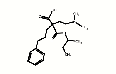 CCC(C)OC(=O)C(CCCc1ccccc1)(CCN(C)C)C(=O)O